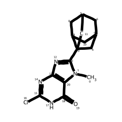 Cn1c(C23CC4CC(CC2C4)C3)nc2nc(Cl)[nH]c(=O)c21